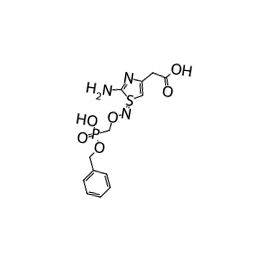 NC1=NC(CC(=O)O)=C/S1=N/OCP(=O)(O)OCc1ccccc1